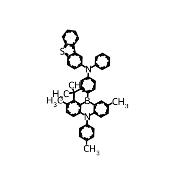 Cc1ccc(N2c3ccc(C)cc3B3c4ccc(N(c5ccccc5)c5ccc6sc7ccccc7c6c5)cc4C(C)(C)c4c(C)ccc2c43)cc1